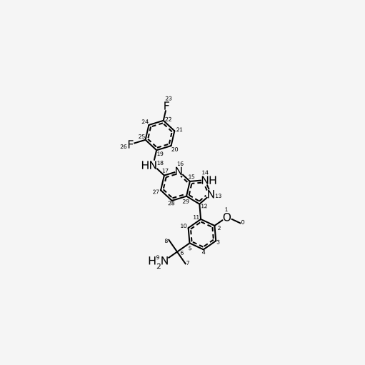 COc1ccc(C(C)(C)N)cc1-c1n[nH]c2nc(Nc3ccc(F)cc3F)ccc12